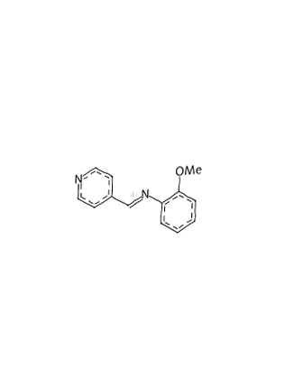 COc1ccccc1/N=C/c1ccncc1